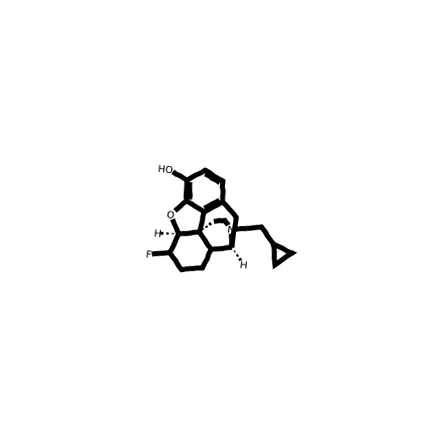 Oc1ccc2c3c1O[C@@H]1C(F)CCC4[C@H](C2)N(CC2CC2)CC[C@]341